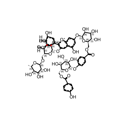 C[C@@H]1O[C@@H](OC[C@H]2O[C@@H](Oc3cc4c(O)cc(O[C@@H]5O[C@H](COC(=O)c6ccc(O[C@@H]7O[C@H](COC(=O)c8ccc(O)cc8)[C@@H](O)[C@H](O)[C@H]7O)cc6)[C@@H](O)[C@H](O)[C@H]5O)cc4[o+]c3-c3cc(O)c(O)c(O)c3)[C@H](O)[C@@H](O)[C@@H]2O)[C@H](O)[C@H](O)[C@H]1O